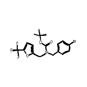 CC(C)(C)OC(=O)N(Cc1ccc(Br)cc1)Cc1ccc(C(F)(F)F)o1